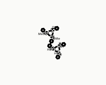 COP(=O)(CN1CCN(CP(=O)(OC)c2ccccc2)CCN(CP(=O)(OC)c2ccc(-c3cccc(P(=O)(O)CN4CCN(CP(=O)(O)c5ccccc5)CCN(CP(=O)(O)c5ccccc5)CC4)c3)cc2)CC1)c1ccccc1